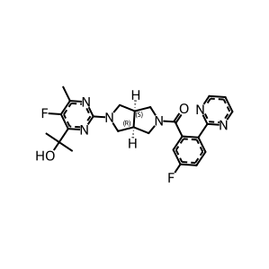 Cc1nc(N2C[C@H]3CN(C(=O)c4cc(F)ccc4-c4ncccn4)C[C@H]3C2)nc(C(C)(C)O)c1F